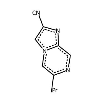 [C-]#[N+]c1cn2cc(C(C)C)ncc2n1